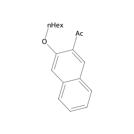 CCCCCCOc1cc2ccccc2cc1C(C)=O